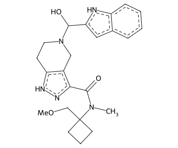 COCC1(N(C)C(=O)c2n[nH]c3c2CN(C(O)c2cc4ccccc4[nH]2)CC3)CCC1